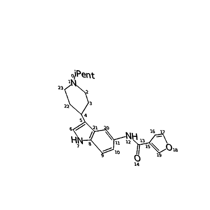 CCCC(C)N1CCC(c2c[nH]c3ccc(NC(=O)c4ccoc4)cc23)CC1